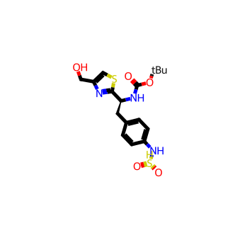 CC(C)(C)OC(=O)N[C@@H](Cc1ccc(N[SH](=O)=O)cc1)c1nc(CO)cs1